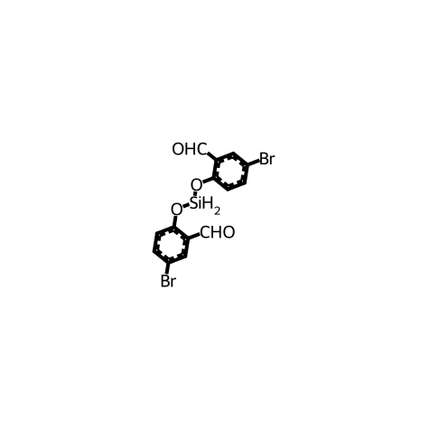 O=Cc1cc(Br)ccc1O[SiH2]Oc1ccc(Br)cc1C=O